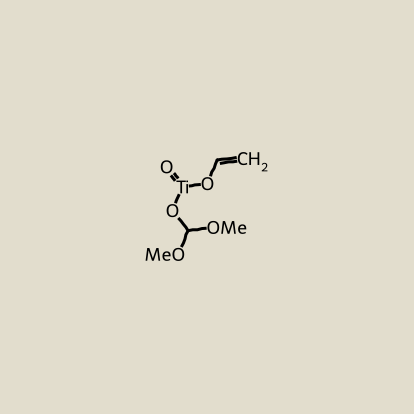 C=C[O][Ti](=[O])[O]C(OC)OC